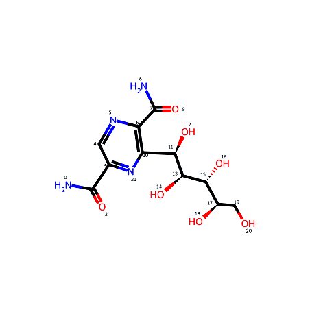 NC(=O)c1cnc(C(N)=O)c([C@@H](O)[C@H](O)[C@H](O)[C@H](O)CO)n1